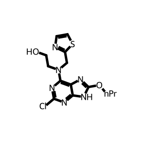 CCCOc1nc2c(N(CCO)Cc3nccs3)nc(Cl)nc2[nH]1